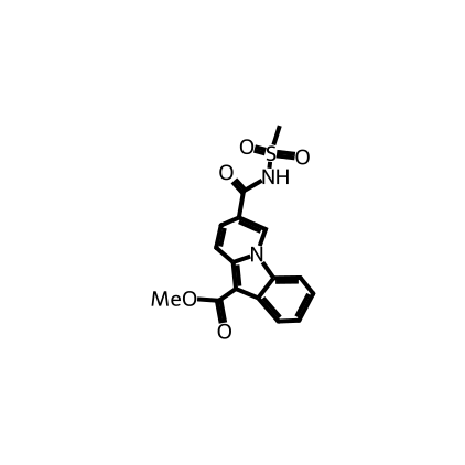 COC(=O)c1c2ccccc2n2cc(C(=O)NS(C)(=O)=O)ccc12